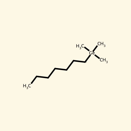 CCCCCC[CH][Ge]([CH3])([CH3])[CH3]